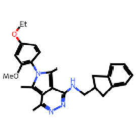 CCOc1ccc(-n2c(C)c3c(C)nnc(NCC4Cc5ccccc5C4)c3c2C)c(OC)c1